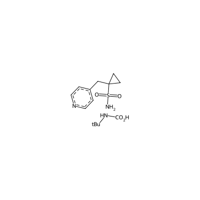 CC(C)(C)NC(=O)O.NS(=O)(=O)C1(Cc2ccncc2)CC1